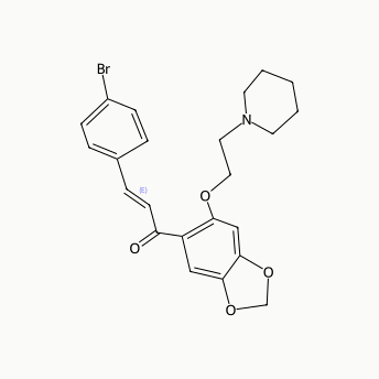 O=C(/C=C/c1ccc(Br)cc1)c1cc2c(cc1OCCN1CCCCC1)OCO2